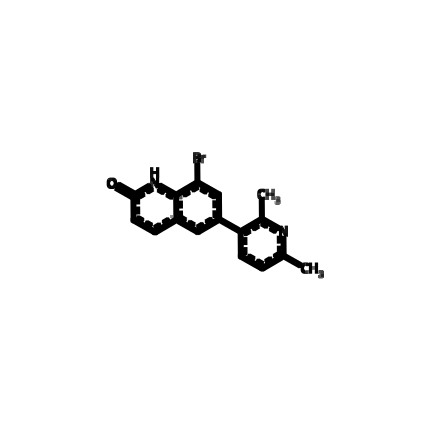 Cc1ccc(-c2cc(Br)c3[nH]c(=O)ccc3c2)c(C)n1